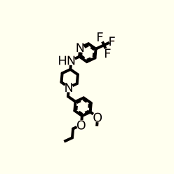 CCCOc1cc(CN2CCC(Nc3ccc(C(F)(F)F)cn3)CC2)ccc1OC